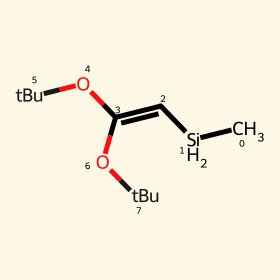 C[SiH2]C=C(OC(C)(C)C)OC(C)(C)C